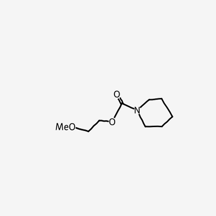 COCCOC(=O)N1CCCCC1